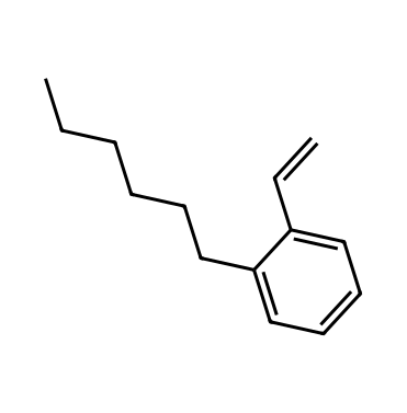 C=Cc1ccccc1CCCCCC